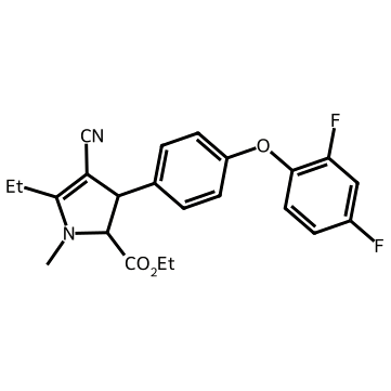 CCOC(=O)C1C(c2ccc(Oc3ccc(F)cc3F)cc2)C(C#N)=C(CC)N1C